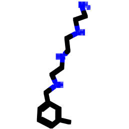 Cc1cccc(CNCCNCCNCCN)c1